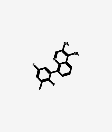 Nc1cnc2c(-c3cc(F)cc(F)c3F)cccc2c1N